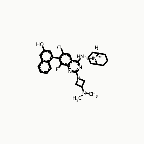 CN(C)C1CN(c2nc(N[C@H]3CC4CCC[C@H](C3)N4)c3cc(Cl)c(-c4cc(O)cc5ccccc45)c(F)c3n2)C1